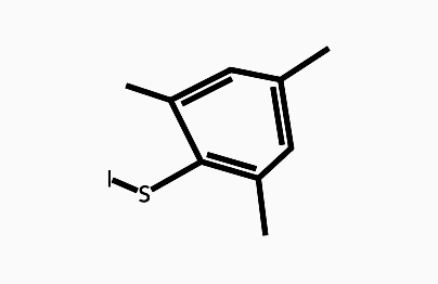 Cc1cc(C)c(SI)c(C)c1